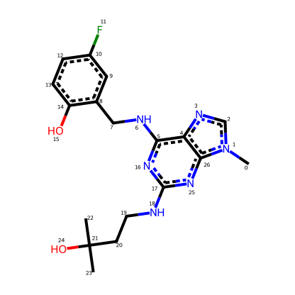 Cn1cnc2c(NCc3cc(F)ccc3O)nc(NCCC(C)(C)O)nc21